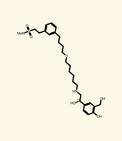 CNS(=O)(=O)CCc1cccc(CCCCOCCCCCCNC[C@H](O)c2ccc(O)c(CO)c2)c1